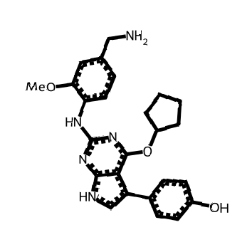 COc1cc(CN)ccc1Nc1nc(OC2CCCC2)c2c(-c3ccc(O)cc3)c[nH]c2n1